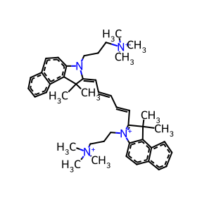 CC1(C)C(/C=C/C=C/C=C2/N(CCC[N+](C)(C)C)c3ccc4ccccc4c3C2(C)C)=[N+](CCC[N+](C)(C)C)c2ccc3ccccc3c21